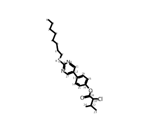 CCCCCCCCSc1ncc(-c2ccc(OC(=O)C(Cl)C(C)C)cc2)cn1